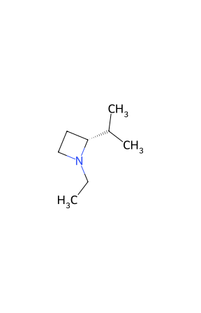 CCN1CC[C@@H]1C(C)C